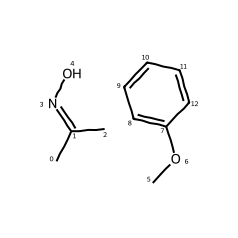 CC(C)=NO.COc1ccccc1